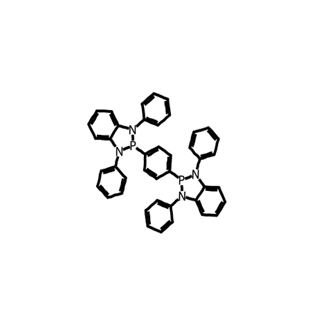 c1ccc(N2c3ccccc3N(c3ccccc3)P2c2ccc(P3N(c4ccccc4)c4ccccc4N3c3ccccc3)cc2)cc1